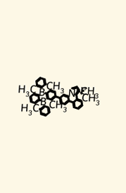 Cc1cccc(C)c1B1c2ccccc2B(c2c(C)cccc2C)c2cc(-c3ccc4c5cccc(C)c5c5n(cc[n+]5C)c4c3)ccc21